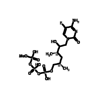 COP(=O)(O)OP(=O)(O)OP(=O)(O)OC[C@@H](C)C[C@H](C)C(O)Cn1cc(F)c(N)nc1=O